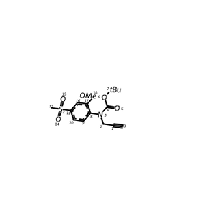 C#CCN(C(=O)OC(C)(C)C)c1ccc(S(C)(=O)=O)cc1OC